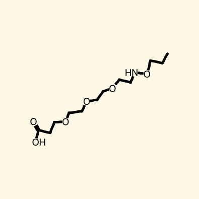 CCCONCCOCCOCCOCCC(=O)O